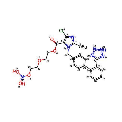 CCCCc1nc(Cl)c(C(=O)OCCOCCON(O)O)n1Cc1ccc(-c2ccccc2-c2nn[nH]n2)cc1